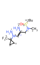 CN(C/C(N)=C/N(N)C1(C(F)(F)F)CC1)[S+]([O-])C(C)(C)C